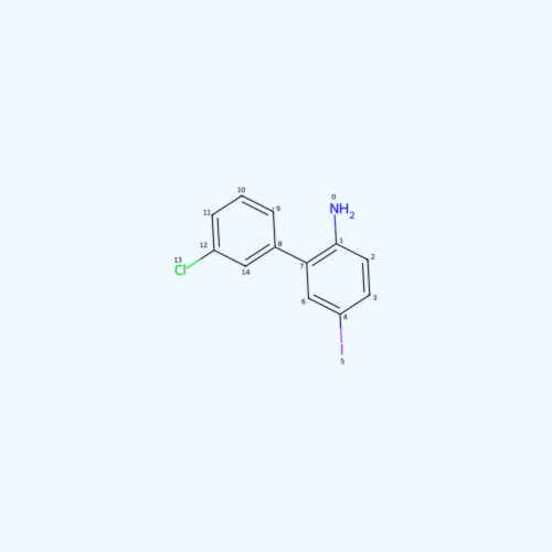 Nc1ccc(I)cc1-c1[c]ccc(Cl)c1